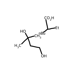 CC(C)(O)CCO.CCCCC(CC)C(=O)O